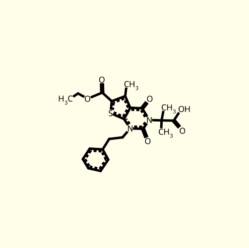 CCOC(=O)c1sc2c(c1C)c(=O)n(C(C)(C)C(=O)O)c(=O)n2CCc1ccccc1